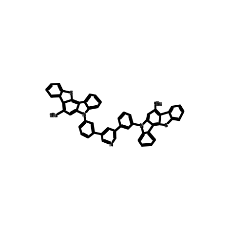 CC(C)(C)c1cc2c(c3ccccc3n2-c2cccc(-c3cncc(-c4cccc(-n5c6ccccc6c6c7sc8ccccc8c7c(C(C)(C)C)cc65)c4)c3)c2)c2sc3ccccc3c12